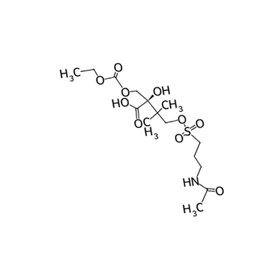 CCOC(=O)OC[C@@](O)(C(=O)O)C(C)(C)COS(=O)(=O)CCCNC(C)=O